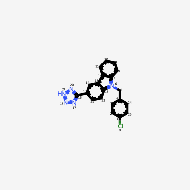 Clc1ccc(Cn2c3ccccc3c3cc(-c4nn[nH]n4)ccc32)cc1